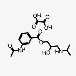 CC(=O)Nc1cccc(C(=O)OCC(O)CNC(C)C)c1.O=C(O)C(=O)O